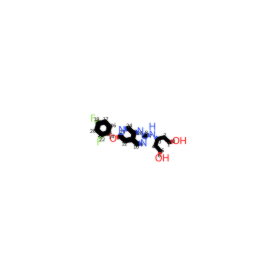 OCCC(CCO)Nc1ncc2cc(Oc3ccc(F)cc3F)ncc2n1